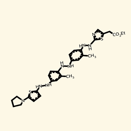 CCOC(=O)Cc1cnc(NNc2ccc(NNc3ccc(NNc4ccc(N5CCCC5)s4)cc3C)cc2C)s1